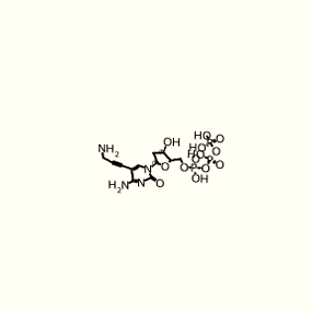 NCC#Cc1cn([C@H]2C[C@@H](O)C(COP(=O)(O)OP(=O)(O)OP(=O)(O)O)O2)c(=O)nc1N